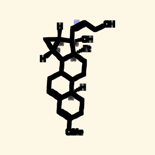 CC[C@]12CCC3C(CC=C4C=C(OC)CC[C@@H]43)C1[C@@H]1C[C@@H]1[C@@]2(O)/C=C\CO